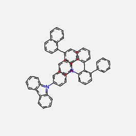 c1ccc(-c2ccccc2-c2c(-c3ccccc3)cccc2N(c2ccc(-n3c4ccccc4c4ccccc43)cc2)c2cccc(-c3cccc4ccccc34)c2)cc1